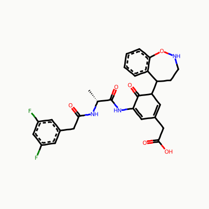 C[C@@H](NC(=O)Cc1cc(F)cc(F)c1)C(=O)NC1=CC(CC(=O)O)=CC(C2CCNOc3ccccc32)C1=O